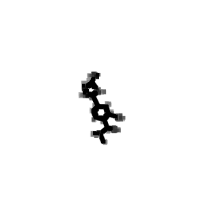 CN(C)C(=O)c1ccc(-c2nnc(Br)s2)cc1Cl